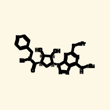 CCCCNc1nc(SCCC)nc2c1nnn2[C@@H]1C[C@H](C(=O)N(CC)Cc2ccncc2)[C@@H](O)[C@H]1O